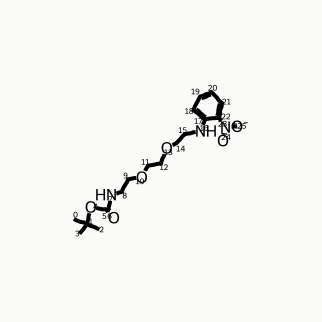 CC(C)(C)OC(=O)NCCOCCOCCNc1ccccc1[N+](=O)[O-]